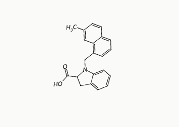 Cc1ccc2cccc(CN3c4ccccc4CC3C(=O)O)c2c1